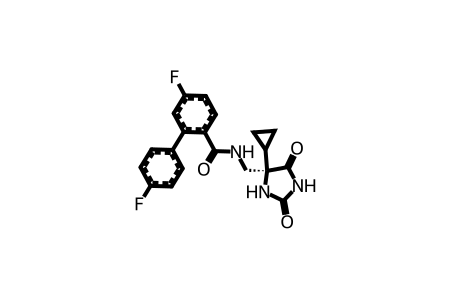 O=C1NC(=O)[C@](CNC(=O)c2ccc(F)cc2-c2ccc(F)cc2)(C2CC2)N1